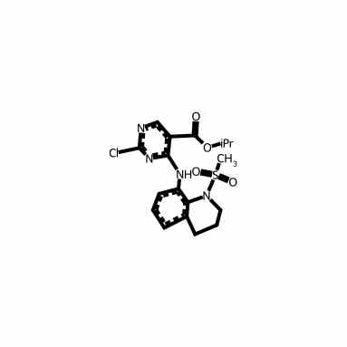 CC(C)OC(=O)c1cnc(Cl)nc1Nc1cccc2c1N(S(C)(=O)=O)CCC2